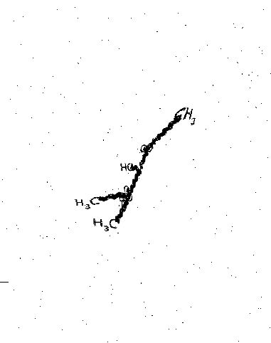 CCCCCCCCCCCOC(=O)CCCCCN(CCO)CCCCCCCC(=O)OC(COCCCCCC)COCCCCCC